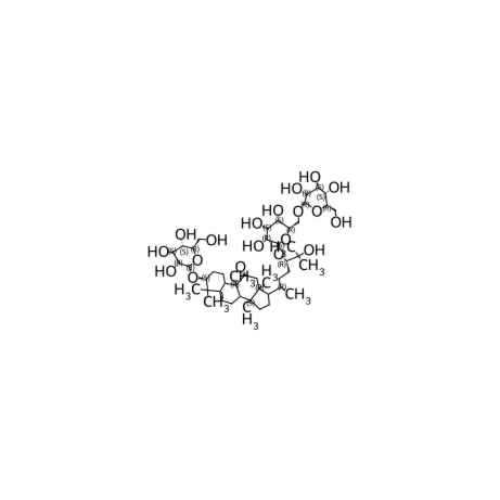 C[C@H](CC[C@@H](O[C@@H]1O[C@H](CO[C@@H]2O[C@H](CO)[C@@H](O)[C@H](O)[C@H]2O)[C@@H](O)[C@H](O)[C@H]1O)C(C)(C)O)C1CC[C@@]2(C)C3CC=C4C(CC[C@H](O[C@@H]5O[C@H](CO)[C@@H](O)[C@H](O)[C@H]5O)C4(C)C)[C@]3(C)C(=O)C[C@]12C